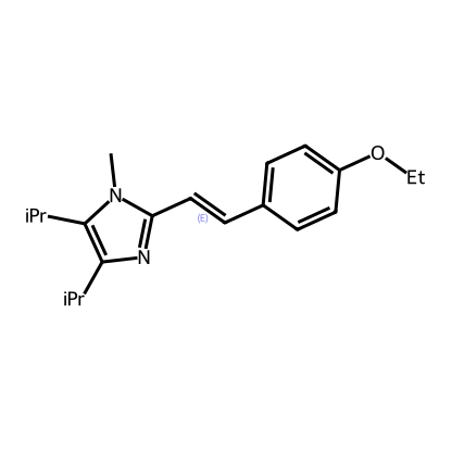 CCOc1ccc(/C=C/c2nc(C(C)C)c(C(C)C)n2C)cc1